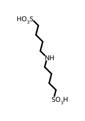 O=S(=O)(O)CCCCNCCCCS(=O)(=O)O